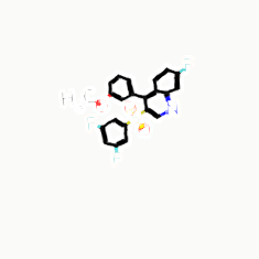 COc1cccc(-c2c(S(=O)(=O)c3cc(F)cc(F)c3)cnc3cc(F)ccc23)c1